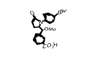 CO[C@H](c1cccc(C(=O)O)c1)C1CCC(=O)N1c1ccc(C(C)(C)C)cc1